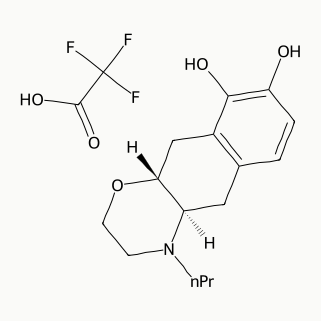 CCCN1CCO[C@@H]2Cc3c(ccc(O)c3O)C[C@H]21.O=C(O)C(F)(F)F